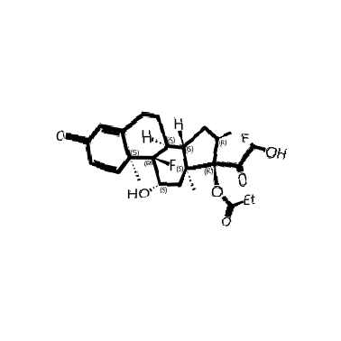 CCC(=O)O[C@]1(C(=O)C(O)F)[C@H](C)C[C@H]2[C@@H]3CCC4=CC(=O)C=C[C@]4(C)[C@@]3(F)[C@@H](O)C[C@@]21C